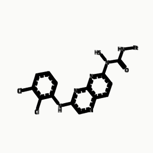 CCNC(=O)N(S)c1ccc2ncc(Nc3cccc(Cl)c3Cl)nc2n1